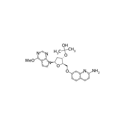 COc1ncnc2c1ccn2[C@H]1C[C@H](OC(C)(C)O)[C@@H](COc2ccc3ccc(N)nc3c2)O1